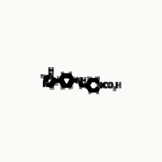 O=C(O)N1CCC(CNc2ccc(-c3cnc[nH]3)cc2)CC1